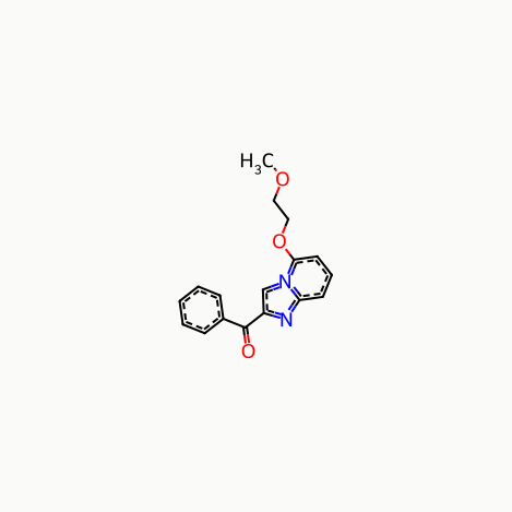 COCCOc1cccc2nc(C(=O)c3ccccc3)cn12